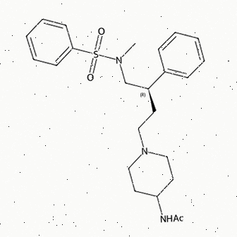 CC(=O)NC1CCN(CC[C@@H](CN(C)S(=O)(=O)c2ccccc2)c2ccccc2)CC1